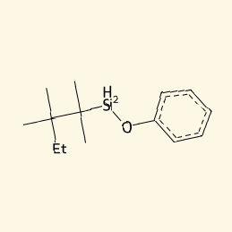 CCC(C)(C)C(C)(C)[SiH2]Oc1ccccc1